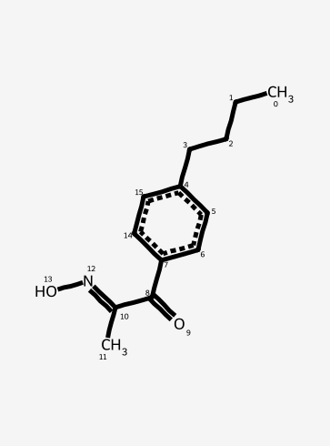 CCCCc1ccc(C(=O)C(C)=NO)cc1